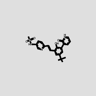 CC(C)(C)c1cc(C=Cc2ccc(NS(C)(=O)=O)cn2)c(O)c(-c2ccc[nH]c2=O)c1